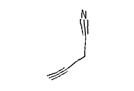 C#CCC#N